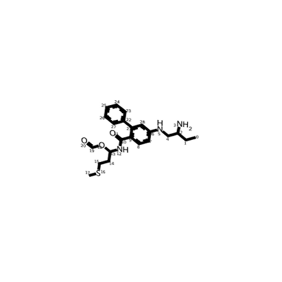 CCC(N)CNc1ccc(C(=O)NC(CCSC)OC=O)c(-c2ccccc2)c1